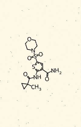 CC1(C(=O)Nc2sc(S(=O)(=O)N3CCOCC3)cc2C(N)=O)CC1